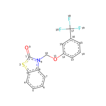 O=c1sc2ccccc2n1COc1cccc(C(F)(F)F)c1